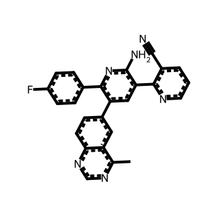 Cc1ncnc2ccc(-c3cc(-c4ncccc4C#N)c(N)nc3-c3ccc(F)cc3)cc12